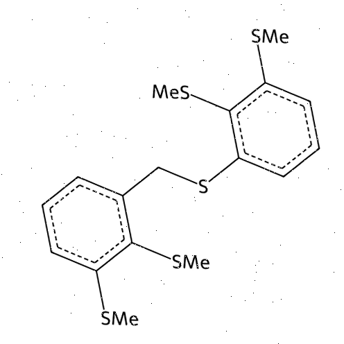 CSc1cccc(CSc2cccc(SC)c2SC)c1SC